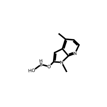 Cc1ccnc2c1cc(OBO)n2C